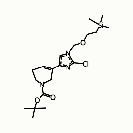 CC(C)(C)OC(=O)N1CCC=C(c2cn(COCC[Si](C)(C)C)c(Cl)n2)C1